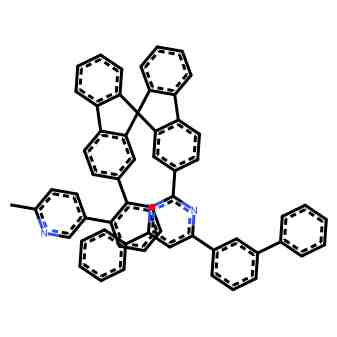 Cc1ccc(-c2ccccc2-c2ccc3c(c2)C2(c4ccccc4-c4ccc(-c5nc(-c6ccccc6)cc(-c6cccc(-c7ccccc7)c6)n5)cc42)c2ccccc2-3)cn1